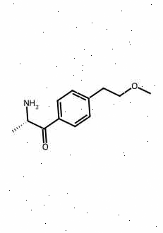 COCCc1ccc(C(=O)[C@H](C)N)cc1